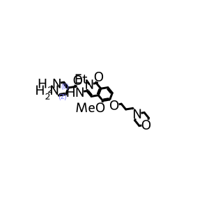 CCn1c(NC(=O)C(/C=C\N)=C/N)cc2c(OC)c(OCCCN3CCOCC3)ccc2c1=O